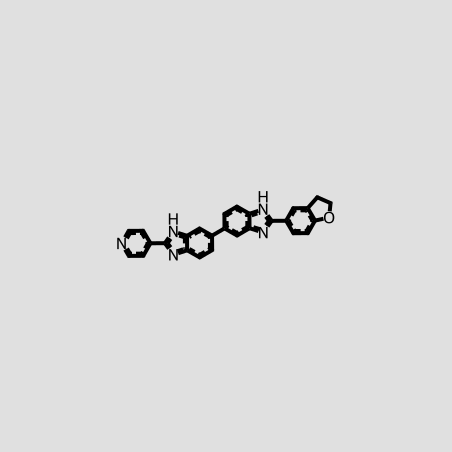 c1cc(-c2nc3ccc(-c4ccc5[nH]c(-c6ccc7c(c6)CCO7)nc5c4)cc3[nH]2)ccn1